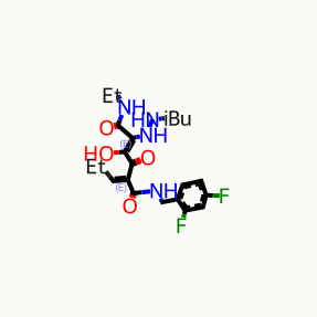 CC/C=C(/C(=O)NCc1ccc(F)cc1F)C(=O)/C(O)=C(\NNC(C)CC)C(=O)NCC